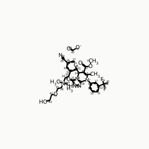 COC(=O)C1=C(C)N(c2cccc(C(F)(F)F)c2)c2n[nH]c(=O)n2C1c1ccc(C#N)cc1CC[N+](C)(C)CCOCCO.O=C[O-]